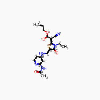 C=CCOC(=O)C(C#N)=c1sc(=CNc2ccnc(NC(C)=O)c2)c(=O)n1CC